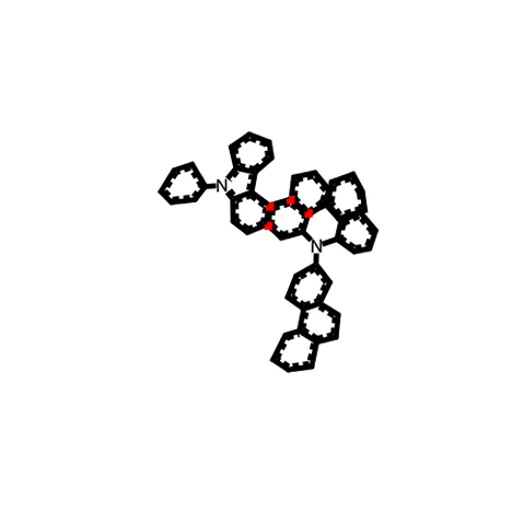 c1ccc(-c2ccccc2N(c2ccc3c(ccc4ccccc43)c2)c2ccccc2-c2cccc(-c3cccc4c3c3ccccc3n4-c3ccccc3)c2)cc1